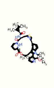 CCn1c(-c2cccnc2[C@H](C)OC)c2c3cc(ccc31)-c1csc(n1)C[C@H](NC(=O)[C@H]1[C@H](C)C1(C)C)C(=O)N1CCC[C@H](N1)C(=O)OCC(C)(C)C2